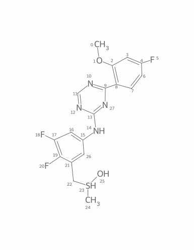 COc1cc(F)ccc1-c1ncnc(Nc2cc(F)c(F)c(C[SH](C)O)c2)n1